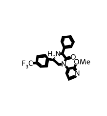 COc1ncccc1N(CCc1ccc(C(F)(F)F)cc1)C(=O)C(N)c1ccccc1